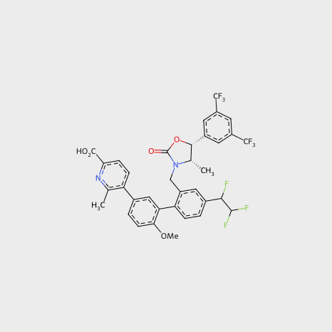 COc1ccc(-c2ccc(C(=O)O)nc2C)cc1-c1ccc(C(F)C(F)F)cc1CN1C(=O)O[C@H](c2cc(C(F)(F)F)cc(C(F)(F)F)c2)[C@@H]1C